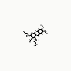 CCCNc1nc2c(c(NCCC)c1C#N)Cc1cc(OC)c(OC)cc1O2